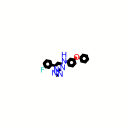 Fc1cccc(-c2cc(Nc3cccc(Oc4ccccc4)c3)nc3ncnn23)c1